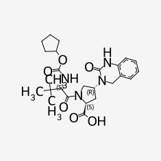 CC(C)(C)[C@H](NC(=O)OC1CCCC1)C(=O)N1C[C@H](N2Cc3ccccc3NC2=O)C[C@H]1C(=O)O